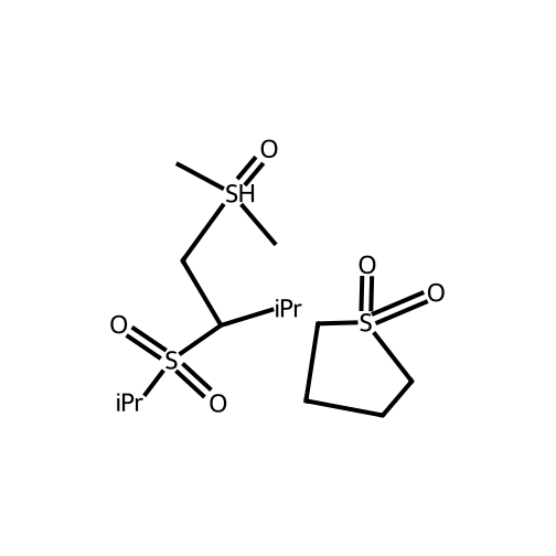 CC(C)C(C[SH](C)(C)=O)S(=O)(=O)C(C)C.O=S1(=O)CCCC1